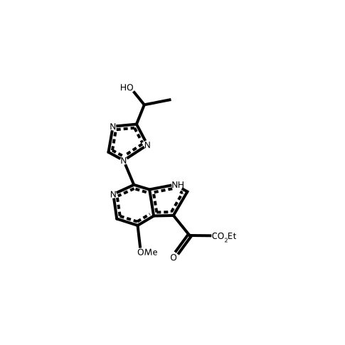 CCOC(=O)C(=O)c1c[nH]c2c(-n3cnc(C(C)O)n3)ncc(OC)c12